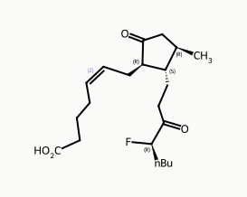 CCCC[C@@H](F)C(=O)CC[C@H]1[C@H](C)CC(=O)[C@@H]1C/C=C\CCCC(=O)O